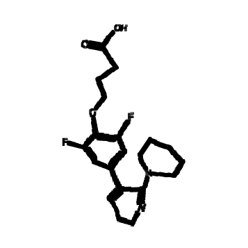 O=C(O)CCCOc1c(F)cc(C2=CCCN=C2N2CCCCC2)cc1F